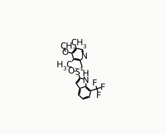 COc1c(C)cnc(C[S+]([O-])c2cc3cccc(C(F)(F)F)c3[nH]2)c1C